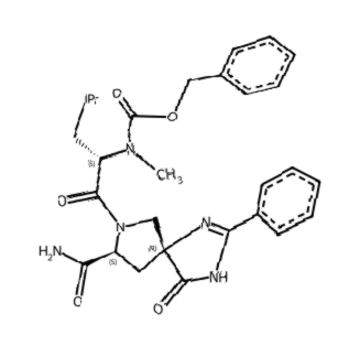 CC(C)C[C@@H](C(=O)N1C[C@@]2(C[C@H]1C(N)=O)N=C(c1ccccc1)NC2=O)N(C)C(=O)OCc1ccccc1